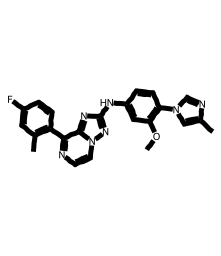 COc1cc(Nc2nc3c(-c4ccc(F)cc4C)nccn3n2)ccc1-n1cnc(C)c1